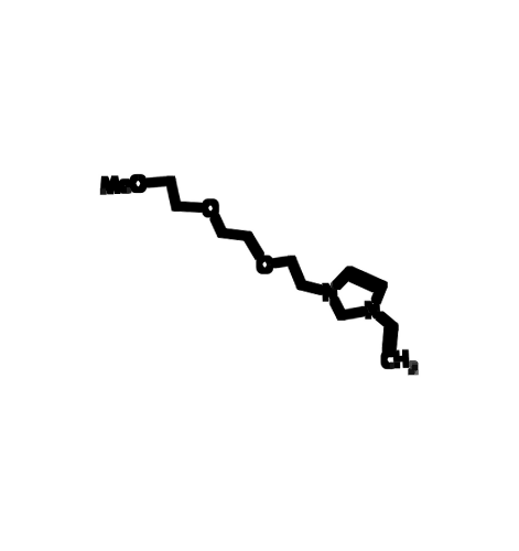 C=CN1C=CN(CCOCCOCCOC)C1